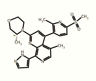 Cc1nc(S(C)(=O)=O)ccc1-c1cc(N2CCOC[C@H]2C)nc2c(-c3ccn[nH]3)ncc(C)c12